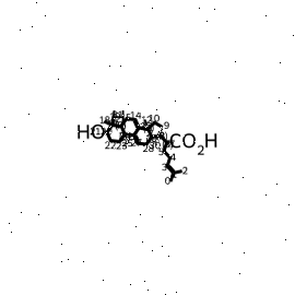 CC(C)=CCC[C@@H](C(=O)O)[C@H]1CC[C@@]2(C)C3=CC[C@H]4C(C)(C)C(O)CC[C@]4(C)C3=CC[C@]12C